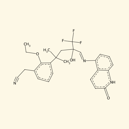 CCOc1c(CC#N)cccc1C(C)(C)CC(O)(/C=N/c1cccc2[nH]c(=O)ccc12)C(F)(F)F